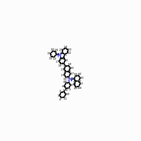 c1ccc(-c2ccc(N(c3ccc4cc(-c5ccc6c(c5)c5ccccc5n6-c5ccccc5)ccc4c3)c3cccc4ccccc34)cc2)cc1